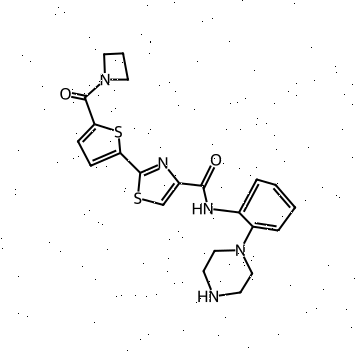 O=C(Nc1ccccc1N1CCNCC1)c1csc(-c2ccc(C(=O)N3CCC3)s2)n1